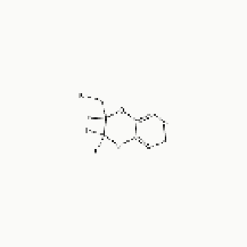 FC1(F)Oc2ccccc2OC1(F)CBr